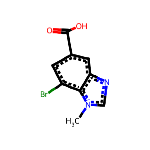 Cn1cnc2cc(C(=O)O)cc(Br)c21